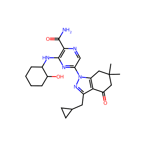 CC1(C)CC(=O)c2c(CC3CC3)nn(-c3cnc(C(N)=O)c(NC4CCCCC4O)n3)c2C1